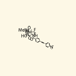 CNC(=O)NC(C)(C(F)F)[C@H](NC(=O)c1ccc(C#Cc2ccc(N(C)C)cc2)cc1)C(=O)NO